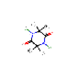 CC1(C)C(=O)N(Cl)C(C)(C)C(=O)N1Cl